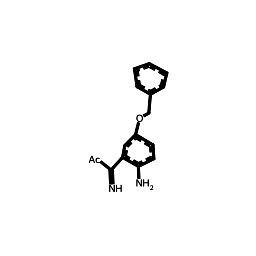 CC(=O)C(=N)c1cc(OCc2ccccc2)ccc1N